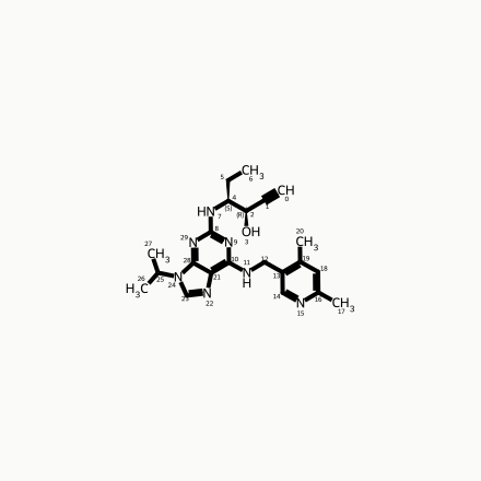 C#C[C@@H](O)[C@H](CC)Nc1nc(NCc2cnc(C)cc2C)c2ncn(C(C)C)c2n1